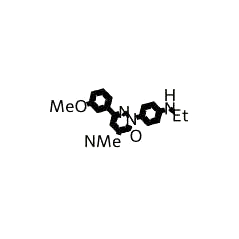 CCNc1ccc(-n2nc(-c3cccc(OC)c3)cc(NC)c2=O)cc1